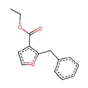 CCOC(=O)c1ccoc1Cc1ccccc1